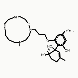 CCCCCc1cc(O)c([C@]2(O)C=C(C)CC[C@@]2(O)C(C)C)c(OCCCN2CCCNCCNCCCNCC2)c1